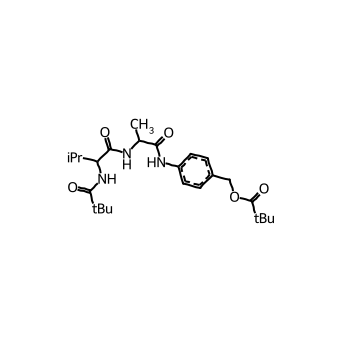 CC(NC(=O)C(NC(=O)C(C)(C)C)C(C)C)C(=O)Nc1ccc(COC(=O)C(C)(C)C)cc1